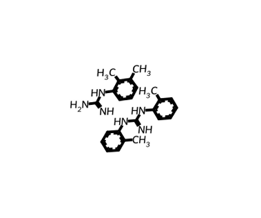 Cc1cccc(NC(=N)N)c1C.Cc1ccccc1NC(=N)Nc1ccccc1C